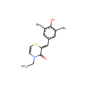 CC(C)(C)c1cc(/C=C2\SC=CN(CS(=O)(=O)O)C2=O)cc(C(C)(C)C)c1O